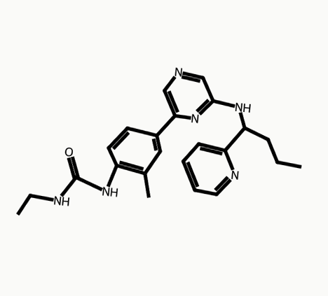 CCCC(Nc1cncc(-c2ccc(NC(=O)NCC)c(C)c2)n1)c1ccccn1